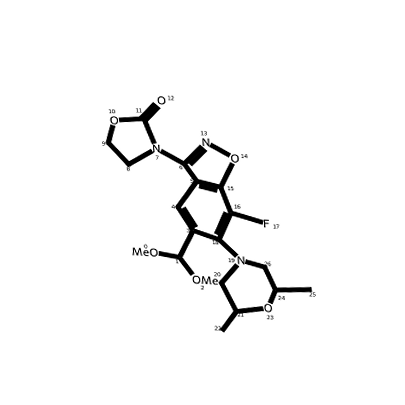 COC(OC)c1cc2c(N3CCOC3=O)noc2c(F)c1N1CC(C)OC(C)C1